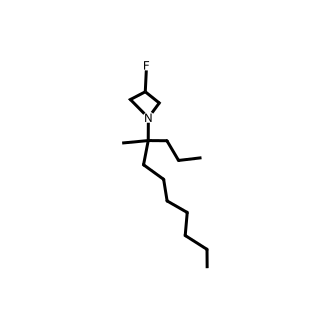 CCCCCCCC(C)(CCC)N1CC(F)C1